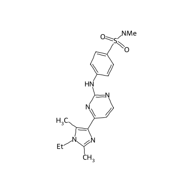 CCn1c(C)nc(-c2ccnc(Nc3ccc(S(=O)(=O)NC)cc3)n2)c1C